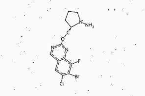 NN1CCC[C@@H]1COc1ncc2cc(Cl)c(Br)c(F)c2n1